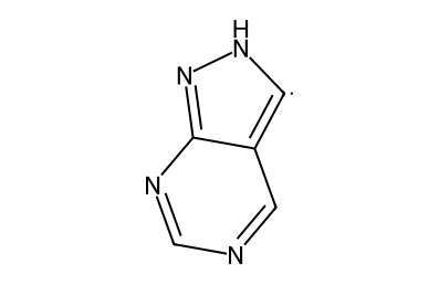 [c]1[nH]nc2ncncc12